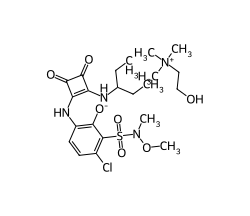 CCC(CC)Nc1c(Nc2ccc(Cl)c(S(=O)(=O)N(C)OC)c2[O-])c(=O)c1=O.C[N+](C)(C)CCO